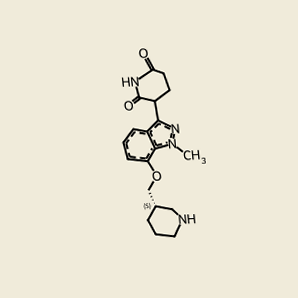 Cn1nc(C2CCC(=O)NC2=O)c2cccc(OC[C@H]3CCCNC3)c21